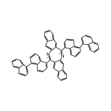 c1ccc2cc3c(cc2c1)/N=C(/c1cccc2c(-c4cccc5ccccc45)cccc12)c1cc2ccccc2cc1/N=C\3c1cccc2c(-c3cccc4ccccc34)cccc12